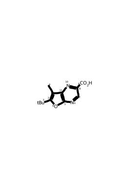 Cc1c(C(C)(C)C)oc2ncc(C(=O)O)nc12